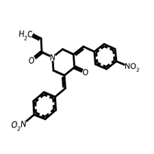 C=CC(=O)N1CC(=Cc2ccc([N+](=O)[O-])cc2)C(=O)C(=Cc2ccc([N+](=O)[O-])cc2)C1